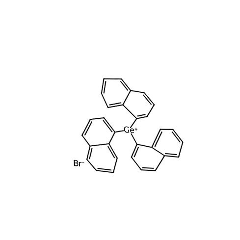 [Br-].c1ccc2[c]([Ge+]([c]3cccc4ccccc34)[c]3cccc4ccccc34)cccc2c1